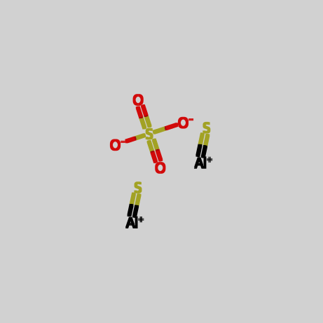 O=S(=O)([O-])[O-].[Al+]=[S].[Al+]=[S]